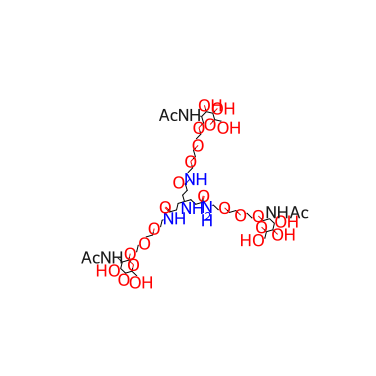 CC(=O)NC1C(OCCOCCOCCNC(=O)CCC(N)(CCC(=O)NCCOCCOCCOC2OC(CO)C(O)C(O)C2NC(C)=O)CCC(=O)NCCOCCOCCOC2OC(CO)C(O)C(O)C2NC(C)=O)OC(CO)C(=O)C1O